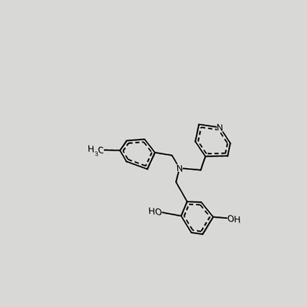 Cc1ccc(CN(Cc2ccncc2)Cc2cc(O)ccc2O)cc1